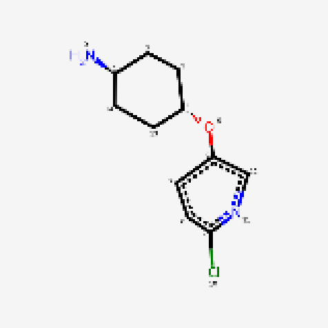 N[C@H]1CC[C@H](Oc2ccc(Cl)nc2)CC1